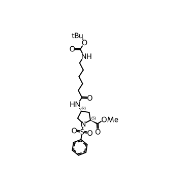 COC(=O)[C@@H]1C[C@@H](NC(=O)CCCCCNC(=O)OC(C)(C)C)CN1S(=O)(=O)c1ccccc1